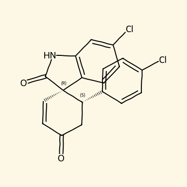 O=C1C=C[C@@]2(C(=O)Nc3cc(Cl)ccc32)[C@H](c2ccc(Cl)cc2)C1